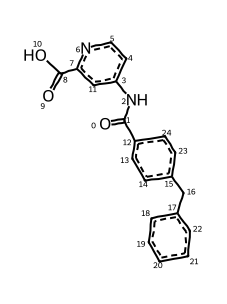 O=C(Nc1ccnc(C(=O)O)c1)c1ccc(Cc2ccccc2)cc1